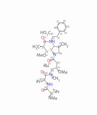 C=C1C[C@@H](C(OC)[C@@H](C)C(=O)N[C@@H](Cc2ccccc2)C(=O)O)N(C(=O)CC(OC)C([C@@H](C)CC)N(C)C(=O)[C@@H](NC(=O)C(NC)C(C)C)C(C)C)C1